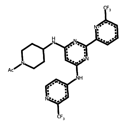 CC(=O)N1CCC(Nc2cc(Nc3ccnc(C(F)(F)F)c3)nc(-c3cccc(C(F)(F)F)n3)n2)CC1